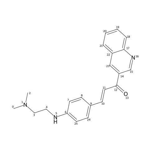 CN(C)CCNc1ccc(/C=C/C(=O)c2cnc3ccccc3c2)cc1